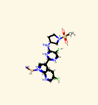 CS(=O)(=O)N1CC[C@H](Nc2nc(-c3cn(SI)c4ncc(Cl)cc34)ncc2F)C1